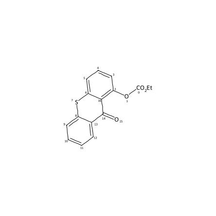 CCOC(=O)Oc1cccc2sc3ccccc3c(=O)c12